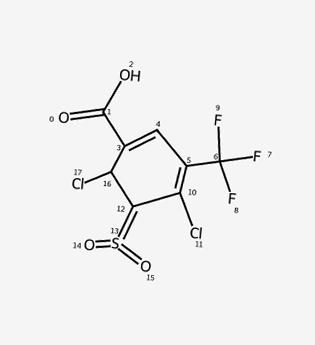 O=C(O)C1=CC(C(F)(F)F)=C(Cl)C(=S(=O)=O)C1Cl